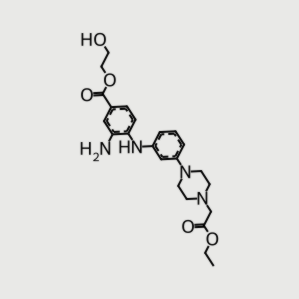 CCOC(=O)CN1CCN(c2cccc(Nc3ccc(C(=O)OCCO)cc3N)c2)CC1